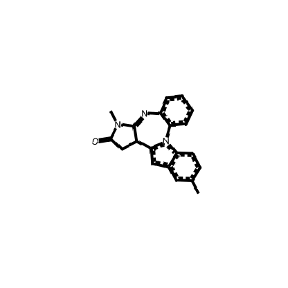 Cc1ccc2c(c1)cc1n2-c2ccccc2N=C2C1CC(=O)N2C